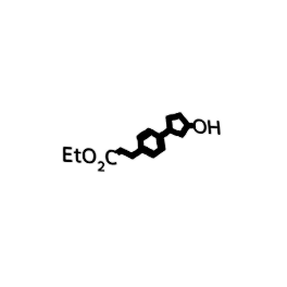 CCOC(=O)CCc1ccc(C2CCC(O)C2)cc1